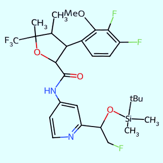 COc1c(C2C(C(=O)Nc3ccnc(C(CF)O[Si](C)(C)C(C)(C)C)c3)OC(C)(C(F)(F)F)C2C)ccc(F)c1F